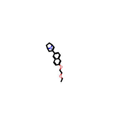 CCOCCOc1ccc2cc(C3=CC4CCC(C3)N4C)ccc2c1